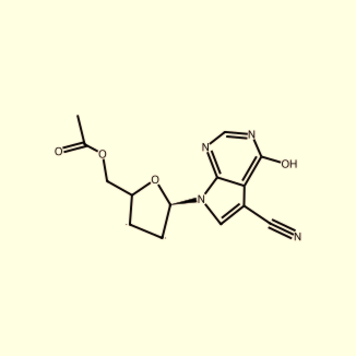 CC(=O)OCC1[CH][CH][C@H](n2cc(C#N)c3c(O)ncnc32)O1